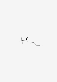 CC(C)(C)C(=O)OCCS